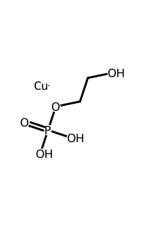 O=P(O)(O)OCCO.[Cu]